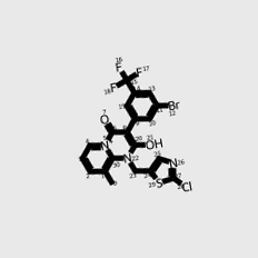 Cc1ccc[n+]2c(=O)c(-c3cc(Br)cc(C(F)(F)F)c3)c(O)n(Cc3cnc(Cl)s3)c12